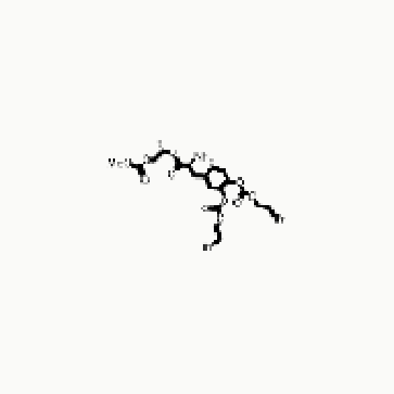 COC(=O)OC[C@H](C)OC(=O)[C@@H](N)Cc1ccc(OC(=O)OCCC(C)C)c(OC(=O)OCCC(C)C)c1